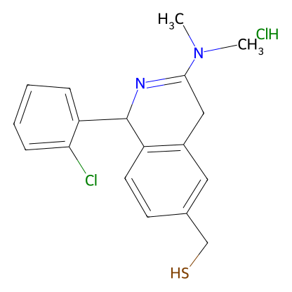 CN(C)C1=NC(c2ccccc2Cl)c2ccc(CS)cc2C1.Cl